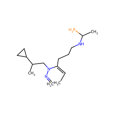 C=NN(CC(C)C1CC1)/C(=C\C)CCCNC(C)P